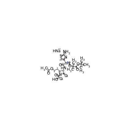 CC(=O)OCCC1C(NC(=O)/C(=N\OC(C)(C)C(=O)OC(C)(C)C)c2csc(N)n2)C(=O)N1S(=O)(=O)O.[NaH]